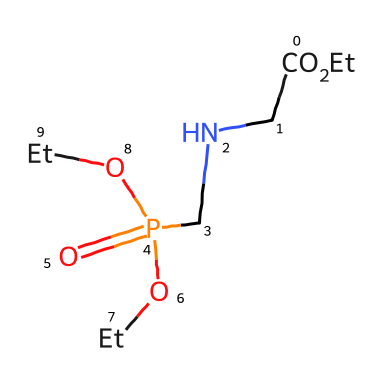 CCOC(=O)CNCP(=O)(OCC)OCC